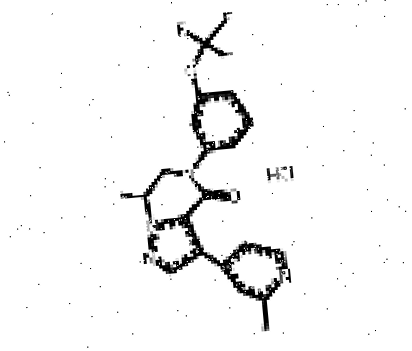 Cc1cc(-c2cnn3c2C(=O)N(c2cccc(OC(F)(F)F)c2)C[C@@H]3C)ccn1.Cl